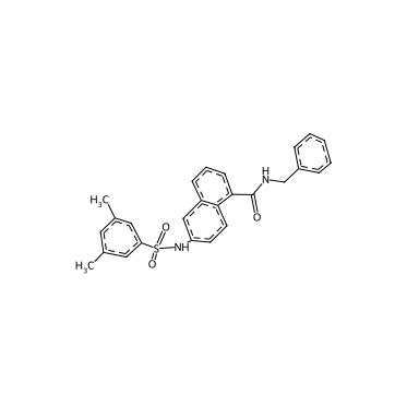 Cc1cc(C)cc(S(=O)(=O)Nc2ccc3c(C(=O)NCc4ccccc4)cccc3c2)c1